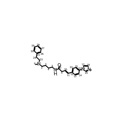 CN(CCCCNC(=O)C/C=C/c1ccc(-n2ccnc2)cc1)CCc1ccccc1